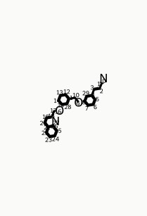 N#C/C=C/c1cccc(OCc2cccc(OCc3ccc4ccccc4n3)c2)c1